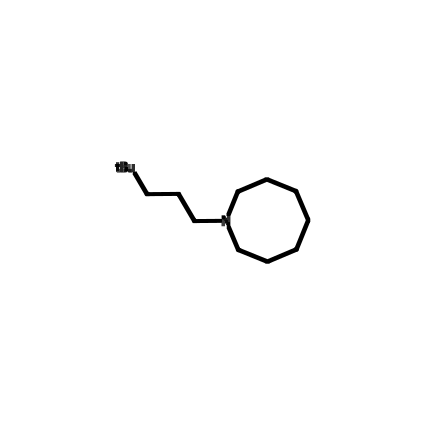 CC(C)(C)CCCN1CCCCCCC1